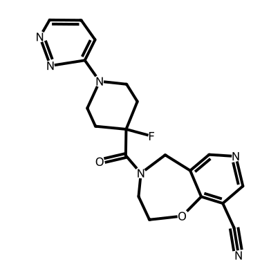 N#Cc1cncc2c1OCCN(C(=O)C1(F)CCN(c3cccnn3)CC1)C2